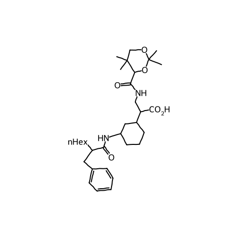 CCCCCCC(Cc1ccccc1)C(=O)NC1CCCC(C(CNC(=O)C2OC(C)(C)OCC2(C)C)C(=O)O)C1